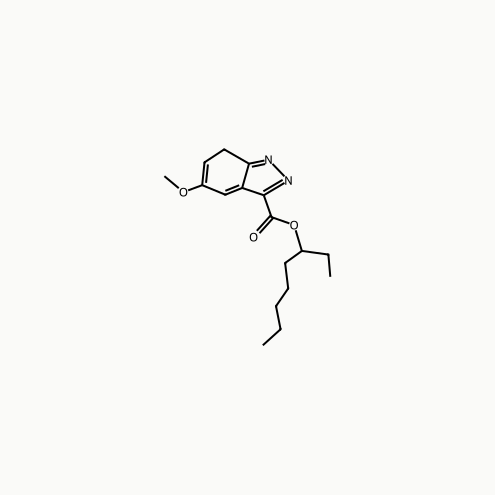 CCCCCC(CC)OC(=O)C1=NN=C2CC=C(OC)C=C21